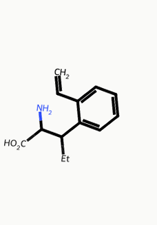 C=Cc1ccccc1C(CC)C(N)C(=O)O